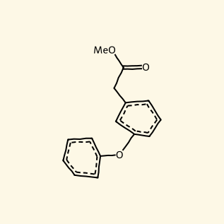 COC(=O)Cc1cccc(Oc2ccccc2)c1